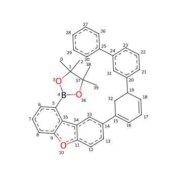 CC1(C)OB(c2cccc3oc4ccc(C5=CC=CC(c6cccc(-c7ccccc7)c6)C5)cc4c23)OC1(C)C